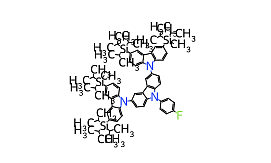 CC(C)[Si](C)(c1ccc2c(c1)c1cc([Si](C(C)C)(C(C)C)C(C)C)ccc1n2-c1ccc2c(c1)c1cc(-n3c4ccc([Si](C)(C(C)C)C(C)C)cc4c4cc([Si](C(C)C)(C(C)C)C(C)C)ccc43)ccc1n2-c1ccc(F)cc1)C(C)C